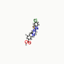 COC(=O)c1cc(C)cc(CN2CCN(c3nc4ccc(Cl)cc4s3)C[C@@H]2C)c1